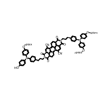 CCCCCCOc1ccc(N(c2ccc(O)cc2)c2ccc(CCCN3C(=O)c4ccc5c6c(C#N)cc7c8c(ccc(c9c(C#N)cc(c4c59)C3=O)c86)C(=O)N(CCCc3ccc(N(c4ccc(OCCCCCC)cc4)c4ccc(OCCCCCC)cc4)cc3)C7=O)cc2)cc1